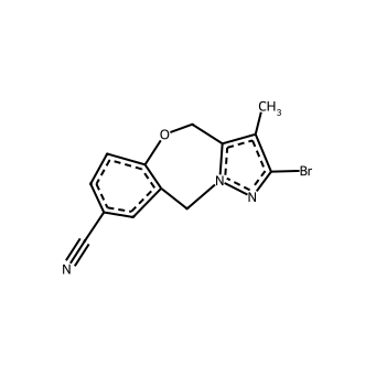 Cc1c(Br)nn2c1COc1ccc(C#N)cc1C2